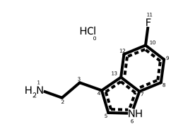 Cl.NCCc1c[nH]c2ccc(F)cc12